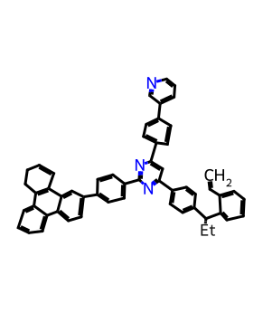 C=Cc1ccccc1C(CC)c1ccc(-c2cc(-c3ccc(-c4cccnc4)cc3)nc(-c3ccc(-c4ccc5c(c4)c4c(c6ccccc65)CCC=C4)cc3)n2)cc1